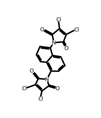 O=C1C(Cl)=C(Cl)C(=O)N1c1cccc2c(N3C(=O)C(Cl)=C(Cl)C3=O)cccc12